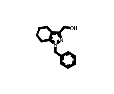 OCc1nn(Cc2ccccc2)c2c1CCCC2